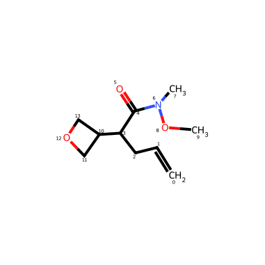 C=CCC(C(=O)N(C)OC)C1COC1